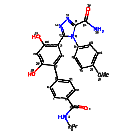 CCCNC(=O)c1ccc(-c2cc(-c3nnc(C(N)=O)n3-c3ccc(OC)cc3)c(O)cc2O)cc1